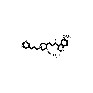 COc1ccc2nccc([C@@H](F)CCC3CCN(CCCc4cncnc4)CC3CCC(=O)O)c2c1